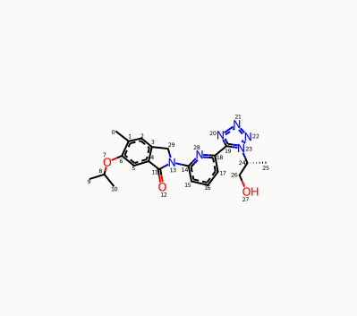 Cc1cc2c(cc1OC(C)C)C(=O)N(c1cccc(-c3nnnn3[C@H](C)CO)n1)C2